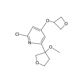 COC1(c2cc(OC3COC3)cc(Cl)n2)CCOC1